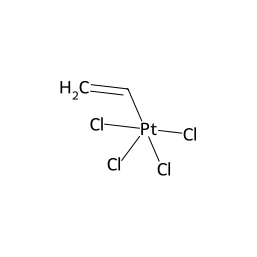 C=[CH][Pt]([Cl])([Cl])([Cl])[Cl]